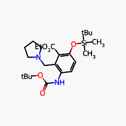 CCOC(=O)c1c(O[Si](C)(C)C(C)(C)C)ccc(NC(=O)OC(C)(C)C)c1CN1CCCC1